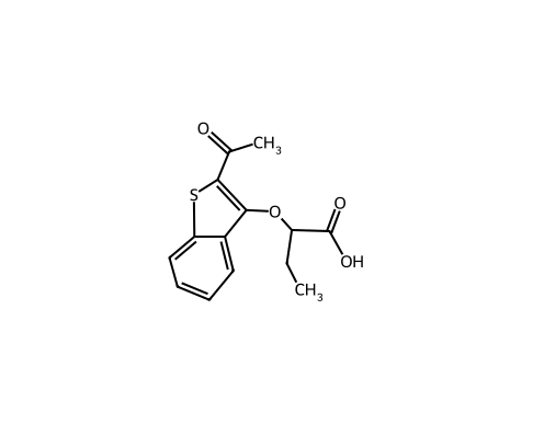 CCC(Oc1c(C(C)=O)sc2ccccc12)C(=O)O